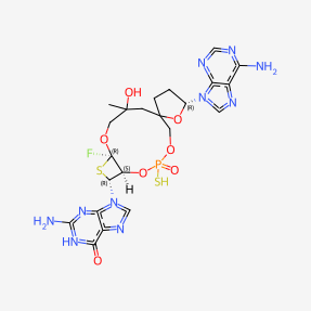 CC1(O)CO[C@]2(F)S[C@@H](n3cnc4c(=O)[nH]c(N)nc43)[C@@H]2OP(=O)(S)OCC2(CC[C@H](n3cnc4c(N)ncnc43)O2)C1